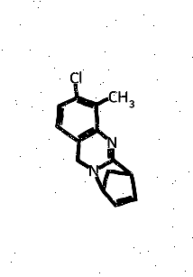 Cc1c(Cl)ccc2c1N=C1C3C=CC(C3)N1C2